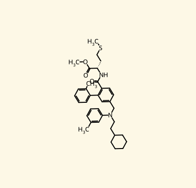 COC(=O)[C@H](CCSC)NC(=O)c1ccc(CN(CCC2CCCCC2)c2cccc(C)c2)cc1-c1ccccc1C